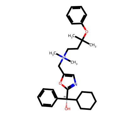 CC(C)(CC[N+](C)(C)Cc1cnc([C@](O)(c2ccccc2)C2CCCCC2)o1)Oc1ccccc1